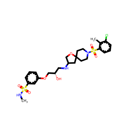 CNS(=O)(=O)c1cccc(OC[C@@H](O)CNC2COC3(CCN(S(=O)(=O)c4cccc(Cl)c4C)CC3)C2)c1